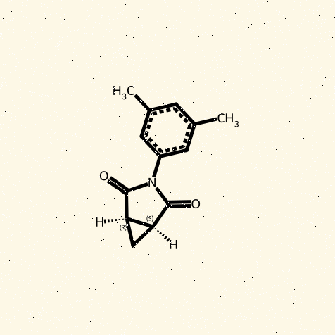 Cc1cc(C)cc(N2C(=O)[C@H]3C[C@H]3C2=O)c1